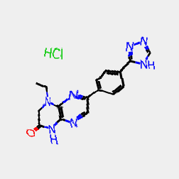 CCN1CC(=O)Nc2ncc(-c3ccc(-c4nnc[nH]4)cc3)nc21.Cl